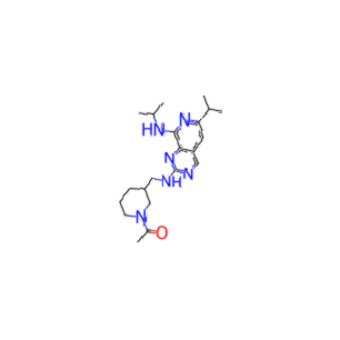 CC(=O)N1CCCC(CNc2ncc3cc(C(C)C)nc(NC(C)C)c3n2)C1